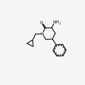 NC1CC(c2ccccc2)CN(CC2CC2)C1=O